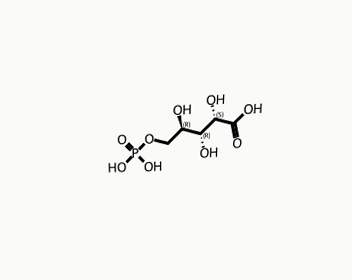 O=C(O)[C@@H](O)[C@H](O)[C@H](O)COP(=O)(O)O